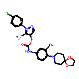 Cc1c(OC(=O)Nc2ccc(N3CCC4(CC3)OCCO4)c(C#N)c2)cnn1-c1ccc(Cl)cc1